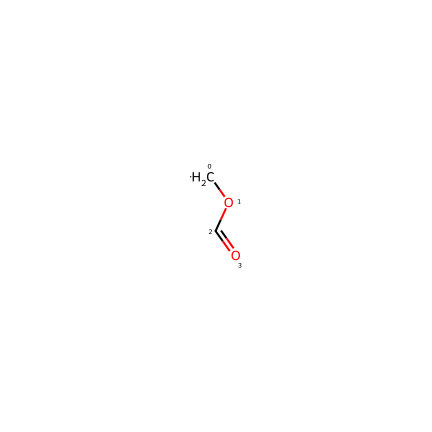 [CH2]OC=O